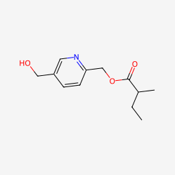 CCC(C)C(=O)OCc1ccc(CO)cn1